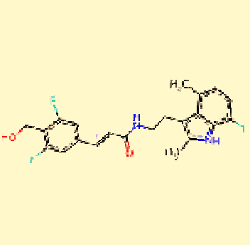 Cc1[nH]c2c(F)ccc(C)c2c1CCNC(=O)/C=C/c1cc(F)c(CO)c(F)c1